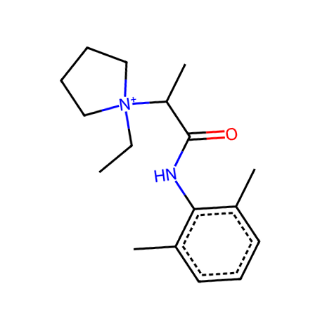 CC[N+]1(C(C)C(=O)Nc2c(C)cccc2C)CCCC1